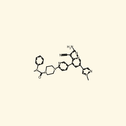 CN(C(=O)N1CCN(c2ccc(-c3cc(-c4cnn(C)c4)cn4nc(N)c(C#N)c34)cn2)CC1)c1ccccc1